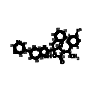 C[C@H](c1ccc(F)cc1)N1C(=O)O[C@](Cc2ccccc2)(c2nc3cc(-c4cncnc4)ccc3[nH]2)C1=O